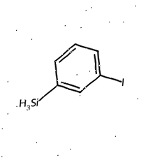 [SiH3]c1cccc(I)c1